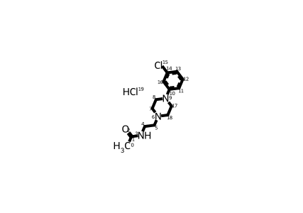 CC(=O)NCCN1CCN(c2cccc(Cl)c2)CC1.Cl